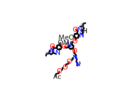 C/C=C1\CC2C=Nc3cc(OCc4cc(OCCN(CCOCCOCCOCCC(C)=O)CCN(C)C)cc(COc5cc6c(cc5OC)C(=O)N5C/C(=C/C)C[C@H]5C=N6)n4)c(OC)cc3C(=O)N2C1